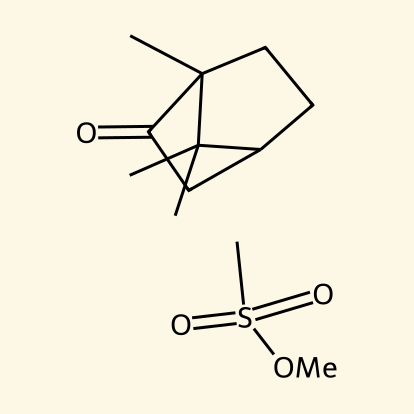 CC12CCC(CC1=O)C2(C)C.COS(C)(=O)=O